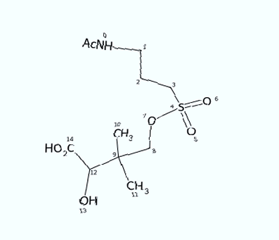 CC(=O)NCCCS(=O)(=O)OCC(C)(C)C(O)C(=O)O